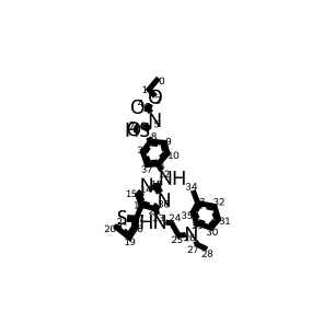 CCOC(=O)/N=[SH](=O)/c1ccc(Nc2ncc(-c3cccs3)c(NCCN(CC)c3cccc(C)c3)n2)cc1